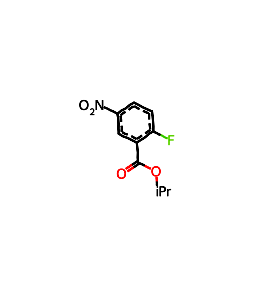 CC(C)OC(=O)c1cc([N+](=O)[O-])ccc1F